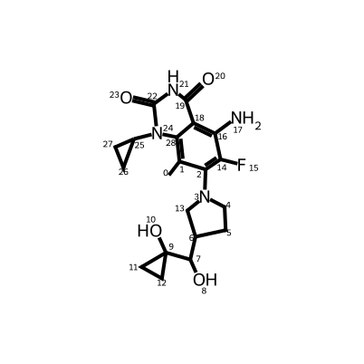 Cc1c(N2CCC(C(O)C3(O)CC3)C2)c(F)c(N)c2c(=O)[nH]c(=O)n(C3CC3)c12